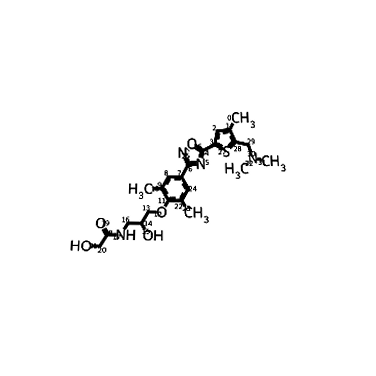 Cc1cc(-c2nc(-c3cc(C)c(OCC(O)CNC(=O)CO)c(C)c3)no2)sc1CN(C)C